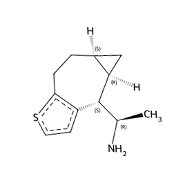 C[C@@H](N)[C@@H]1c2ccsc2CC[C@H]2C[C@H]21